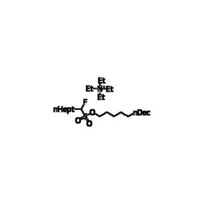 CCCCCCCCCCCCCCCOS(=O)(=O)C(F)CCCCCCC.CC[N+](CC)(CC)CC